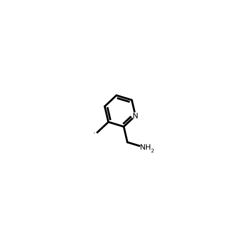 [CH2]c1cccnc1CN